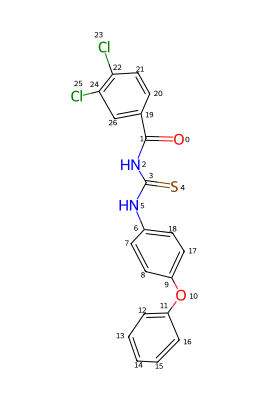 O=C(NC(=S)Nc1ccc(Oc2ccccc2)cc1)c1ccc(Cl)c(Cl)c1